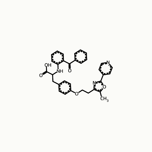 Cc1oc(-c2ccncc2)nc1CCOc1ccc(CC(Nc2ccccc2C(=O)c2ccccc2)C(=O)O)cc1